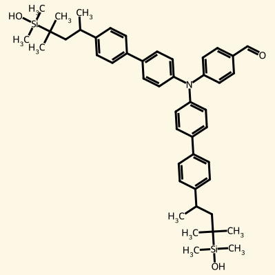 CC(CC(C)(C)[Si](C)(C)O)c1ccc(-c2ccc(N(c3ccc(C=O)cc3)c3ccc(-c4ccc(C(C)CC(C)(C)[Si](C)(C)O)cc4)cc3)cc2)cc1